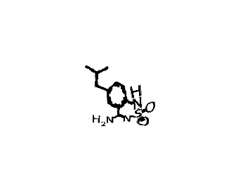 CC(C)Cc1ccc2c(c1)C(N)=NS(=O)(=O)N2